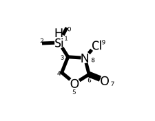 C[SiH](C)C1COC(=O)N1Cl